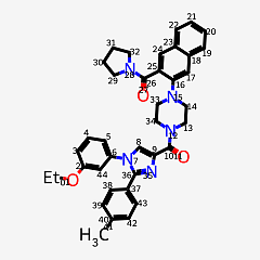 CCOc1cccc(-n2cc(C(=O)N3CCN(c4cc5ccccc5cc4C(=O)N4CCCC4)CC3)nc2-c2ccc(C)cc2)c1